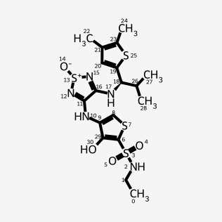 CCNS(=O)(=O)c1scc(Nc2n[s+]([O-])nc2N[C@@H](c2cc(C)c(C)s2)C(C)C)c1O